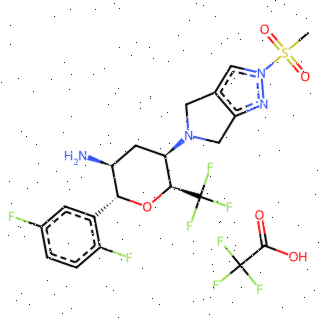 CS(=O)(=O)n1cc2c(n1)CN([C@@H]1C[C@H](N)[C@@H](c3cc(F)ccc3F)O[C@@H]1C(F)(F)F)C2.O=C(O)C(F)(F)F